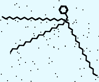 CCCCCCCCCCCCCCCCC[N+](CCCCCCCCCCCCCCCCC)(CCCCCCCCCCCCCCCCC)Cc1ccccc1